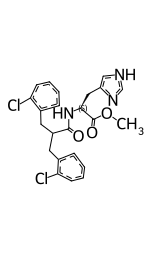 COC(=O)[C@H](Cc1c[nH]cn1)NC(=O)C(Cc1ccccc1Cl)Cc1ccccc1Cl